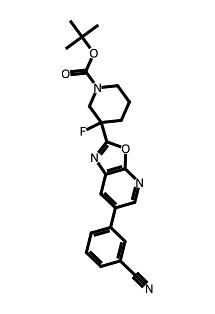 CC(C)(C)OC(=O)N1CCCC(F)(c2nc3cc(-c4cccc(C#N)c4)cnc3o2)C1